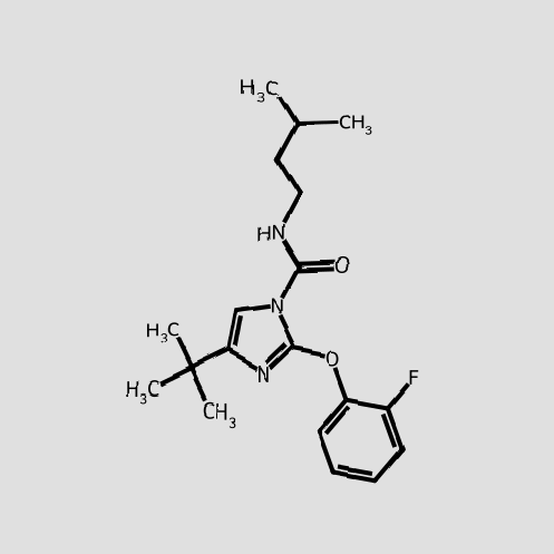 CC(C)CCNC(=O)n1cc(C(C)(C)C)nc1Oc1ccccc1F